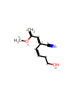 C=C(/C=C(C#N)\C=C/CCO)OC